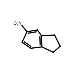 O=[N+]([O-])c1ccc2c(c1)[C]CC2